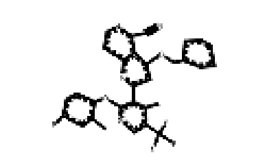 Cc1cc(F)ccc1Oc1ncc(C(F)(F)F)c(C)c1-c1cc(OCc2ccccc2)c2c(C#N)nccc2n1